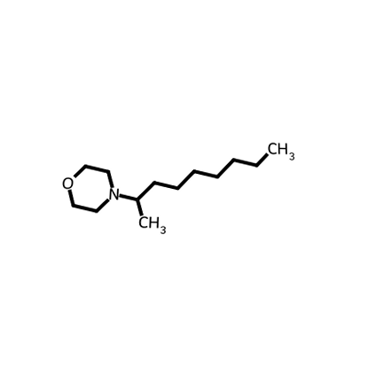 CCCCCCCC(C)N1CCOCC1